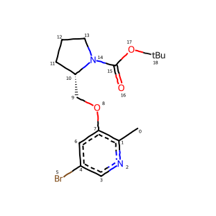 Cc1ncc(Br)cc1OC[C@@H]1CCCN1C(=O)OC(C)(C)C